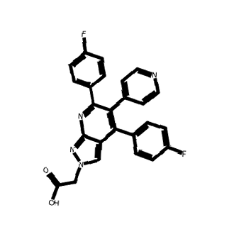 O=C(O)Cn1cc2c(-c3ccc(F)cc3)c(-c3ccncc3)c(-c3ccc(F)cc3)nc2n1